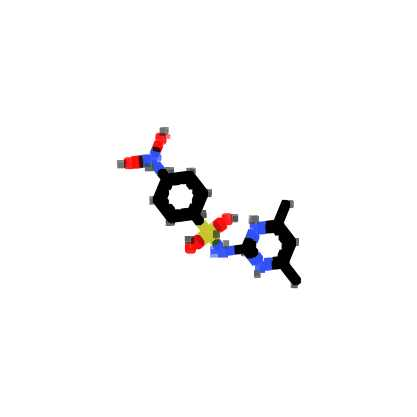 Cc1cc(C)nc(NS(=O)(=O)c2ccc([N+](=O)[O-])cc2)n1